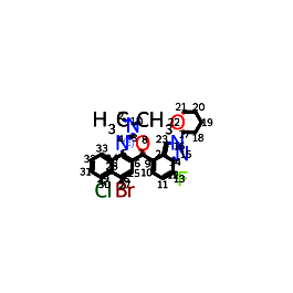 CN(C)/C=N/c1c(C(=O)c2ccc(F)c3nn(C4CCCCO4)cc23)cc(Br)c2c(Cl)cccc12